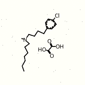 CCCCCCCN(C)CCCCc1ccc(Cl)cc1.O=C(O)C(=O)O